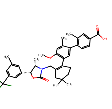 COc1cc(C)c(-c2ccc(C(=O)O)cc2C)cc1C1=C(CN2C(=O)O[C@H](c3cc(C)cc(C(F)(F)F)c3)[C@@H]2C)CC(C)(C)CC1